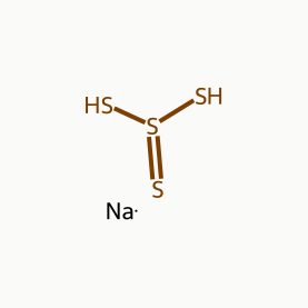 S=S(S)S.[Na]